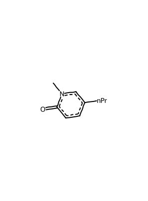 CCCc1ccc(=O)n(C)c1